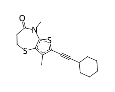 Cc1c(C#CC2CCCCC2)sc2c1SCCC(=O)N2C